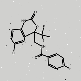 O=C1Nc2cnc(Cl)cc2C(CNC(=O)c2ccc(F)cc2)(C(F)(F)F)O1